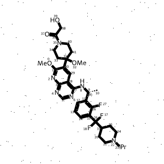 COc1nc2ncnc(N[C@H](C)c3cccc(C(F)(F)C4CCN(C(C)C)CC4)c3F)c2cc1C1(OC)CCN(C(=O)CO)CC1